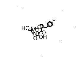 O=C(C1=C(O)C(=O)N(CC(O)CO)C1)c1occc1Cc1ccc(F)cc1